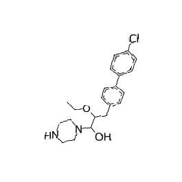 CCOC(Cc1ccc(-c2ccc(Cl)cc2)cc1)C(O)N1CCNCC1